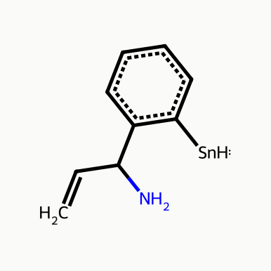 C=CC(N)c1cccc[c]1[SnH]